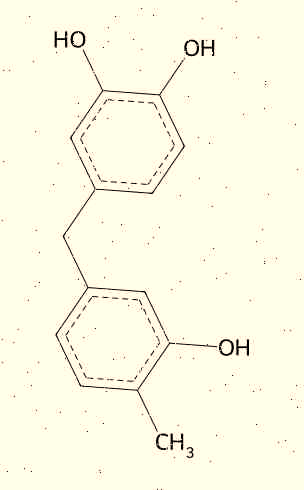 Cc1ccc(Cc2ccc(O)c(O)c2)cc1O